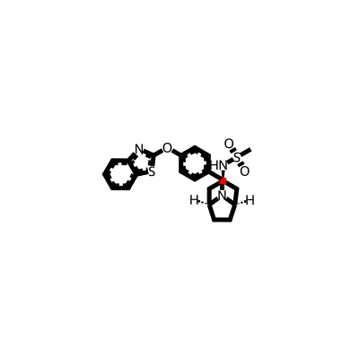 CS(=O)(=O)N[C@H]1C[C@H]2CC[C@@H](C1)N2Cc1ccc(Oc2nc3ccccc3s2)cc1